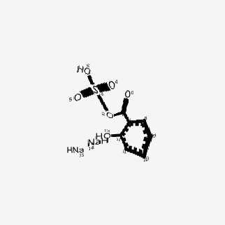 O=C(OS(=O)(=O)O)c1ccccc1O.[NaH].[NaH]